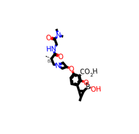 CC1C2B(O)Oc3c(ccc(OC4CN(C[C@H](C)C(=O)NCC(=O)N(C)C)C4)c3C(=O)O)C12